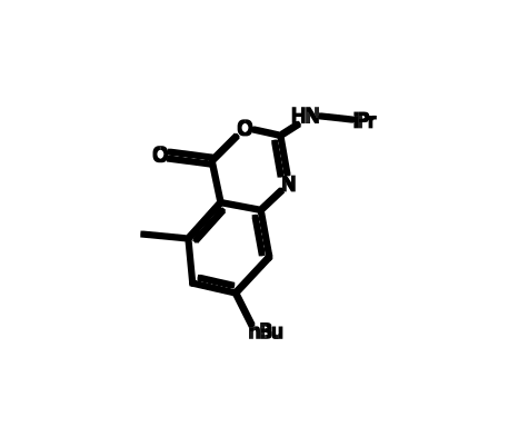 CCCCc1cc(C)c2c(=O)oc(NC(C)C)nc2c1